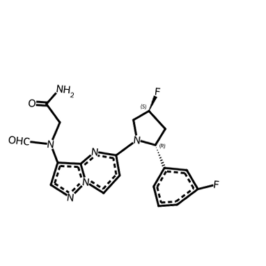 NC(=O)CN(C=O)c1cnn2ccc(N3C[C@@H](F)C[C@@H]3c3cccc(F)c3)nc12